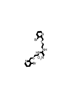 O=[N+]([O-])C=C(NCCSCc1ncccc1Br)NCCSCc1ncccc1Br